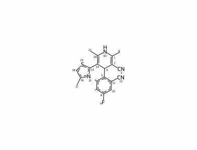 CC1=C(C#N)C(c2ccc(F)cc2C#N)C(c2nc(C)cs2)=C(C)N1